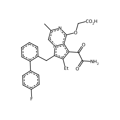 CCc1c(C(=O)C(N)=O)c2c(OCC(=O)O)nc(C)cn2c1Cc1ccccc1-c1ccc(F)cc1